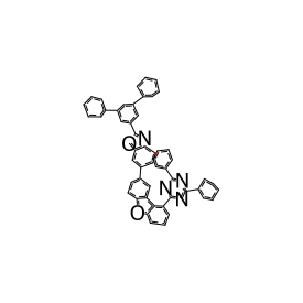 c1ccc(-c2cc(-c3ccccc3)cc(-c3nc4ccc(-c5ccc6oc7cccc(-c8nc(-c9ccccc9)nc(-c9ccccc9)n8)c7c6c5)cc4o3)c2)cc1